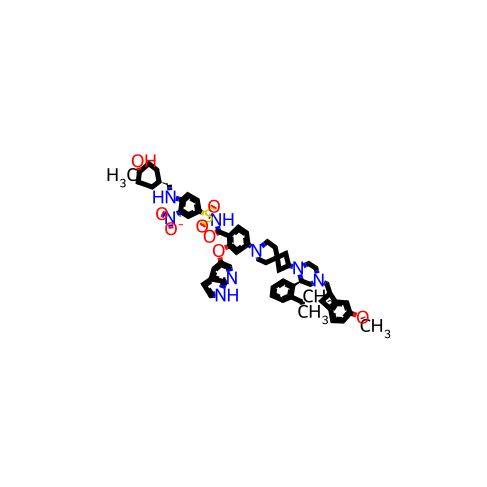 COc1ccc2c(c1)C(CN1CCN(C3CC4(CCN(c5ccc(C(=O)NS(=O)(=O)c6ccc(NC[C@H]7CC[C@](C)(O)CC7)c([N+](=O)[O-])c6)c(Oc6cnc7[nH]ccc7c6)c5)CC4)C3)[C@H](c3ccccc3C(C)C)C1)C2